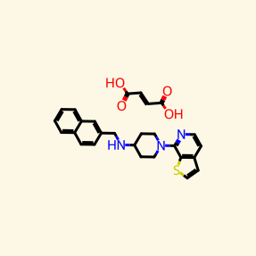 O=C(O)/C=C/C(=O)O.c1ccc2cc(CNC3CCN(c4nccc5ccsc45)CC3)ccc2c1